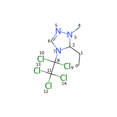 CCC1N(C)N=CN1C(Cl)(Cl)C(Cl)(Cl)Cl